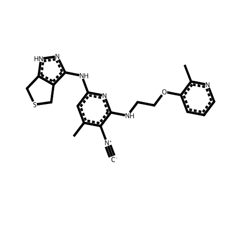 [C-]#[N+]c1c(C)cc(Nc2n[nH]c3c2CSC3)nc1NCCOc1cccnc1C